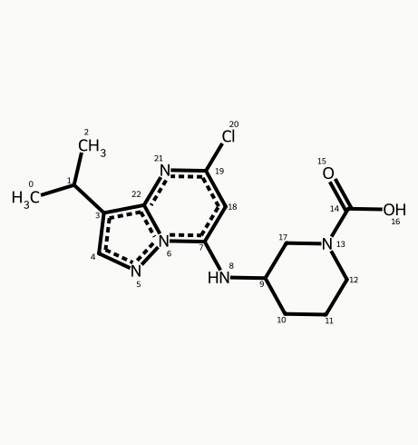 CC(C)c1cnn2c(NC3CCCN(C(=O)O)C3)cc(Cl)nc12